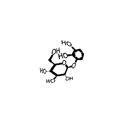 OC[C@H]1O[C@@H](Oc2cccc(O)c2O)[C@H](O)[C@@H](O)[C@@H]1O